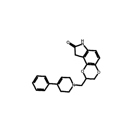 O=C1Cc2c(ccc3c2OC(CN2CC=C(c4ccccc4)CC2)CO3)N1